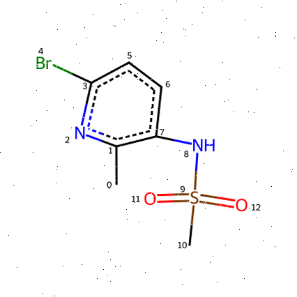 Cc1nc(Br)ccc1NS(C)(=O)=O